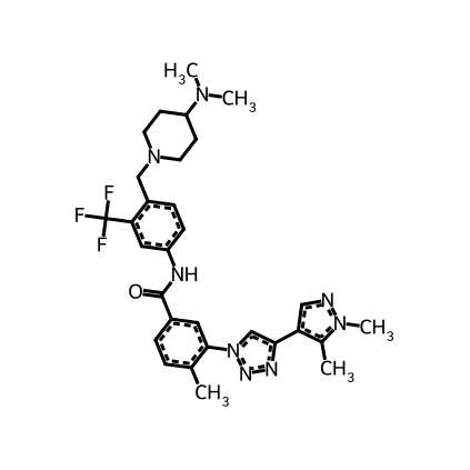 Cc1ccc(C(=O)Nc2ccc(CN3CCC(N(C)C)CC3)c(C(F)(F)F)c2)cc1-n1cc(-c2cnn(C)c2C)nn1